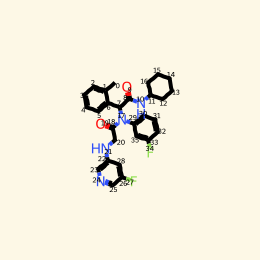 Cc1ccccc1C(C(=O)NC1CCCCC1)N(C(=O)CNc1cncc(F)c1)c1cccc(F)c1